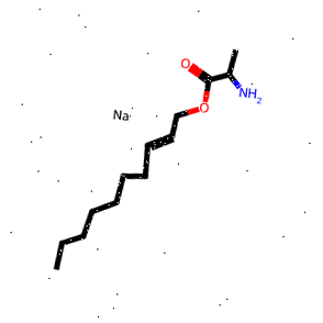 CCCCCCCC=CCOC(=O)C(C)N.[Na]